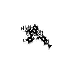 C[C@]1(C(N)=O)COc2c1cc([C@@](O)(CNC(=O)c1ccc3nn(C4CC4)cc3c1)c1ccccc1)nc2-c1cc(Cl)c(F)cc1F